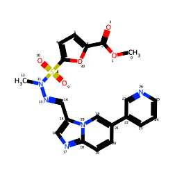 COC(=O)c1ccc(S(=O)(=O)N(C)N=Cc2cnc3ccc(-c4cccnc4)cn23)o1